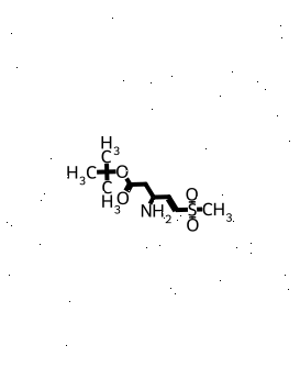 CC(C)(C)OC(=O)CC(N)C=CS(C)(=O)=O